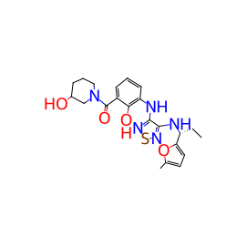 CC[C@@H](Nc1nsnc1Nc1cccc(C(=O)N2CCCC(O)C2)c1O)c1ccc(C)o1